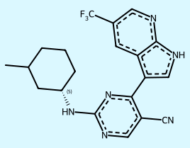 CC1CCC[C@H](Nc2ncc(C#N)c(-c3c[nH]c4ncc(C(F)(F)F)cc34)n2)C1